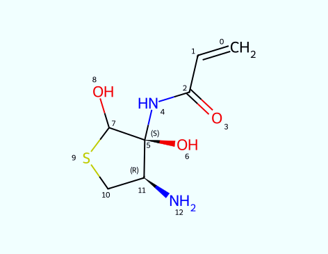 C=CC(=O)N[C@@]1(O)C(O)SC[C@@H]1N